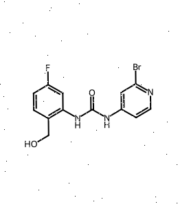 O=C(Nc1ccnc(Br)c1)Nc1cc(F)ccc1CO